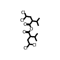 CC(C)C(CC(Cl)Cl)C(=O)OC(=O)C(CC(Cl)Cl)C(C)C